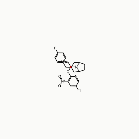 O=CC(Oc1ncc(Cl)cc1[N+](=O)[O-])N1C2CCC1CC(Cc1ccc(F)cc1)C2